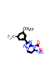 COc1cc(-c2nc3n(n2)C=CC2NOC(=O)N32)cc(C(F)(F)F)c1